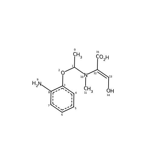 CC(Oc1ccccc1N)N(C)/C(=C\O)C(=O)O